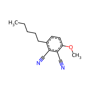 CCCCCc1ccc(OC)c(C#N)c1C#N